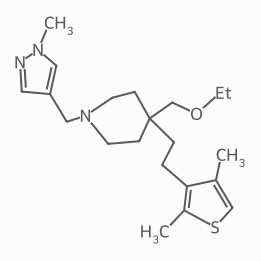 CCOCC1(CCc2c(C)csc2C)CCN(Cc2cnn(C)c2)CC1